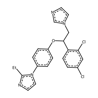 CCc1nccn1-c1ccc(OC(Cn2ccnc2)c2ccc(Cl)cc2Cl)cc1